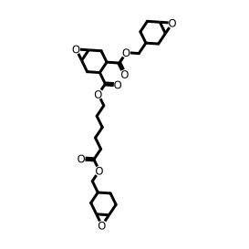 O=C(CCCCCOC(=O)C1CC2OC2CC1C(=O)OCC1CCC2OC2C1)OCC1CCC2OC2C1